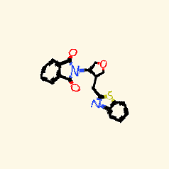 O=C1c2ccccc2C(=O)N1C1COCC1Cc1nc2ccccc2s1